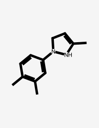 CC1=CCN(c2ccc(C)c(C)c2)N1